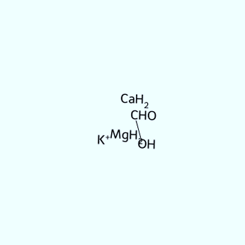 O=[C-]O.[CaH2].[K+].[MgH2]